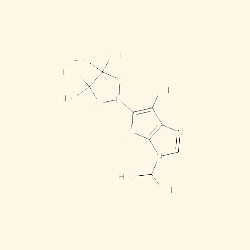 Cc1c(B2OC(C)(C)C(C)(C)O2)sc2c1ncn2C(C)C